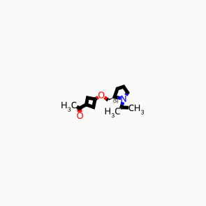 CC(=O)C1CC(OC[C@@H]2CCCN2C(C)C)C1